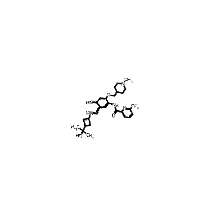 CN1CCC(COC2=CC(=N)/C(=C\NC3CC(C(C)(C)O)C3)C=C2NC(=O)c2cccc(C(F)(F)F)n2)CC1